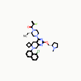 C=C(F)C(=O)N1CCN(c2nc(OC[C@@H]3CCCN3C)nc3c2CC2(CCC2)N(c2cccc4cccc(Cl)c24)C3)C[C@@H]1CC#N